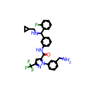 NCc1cccc(-n2nc(C(F)(F)F)cc2C(=O)Nc2cccc(C(NCC3CC3)c3ccccc3F)c2)c1